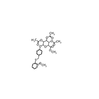 COC(=O)C1OC(Oc2ccc(CSc3cccc[n+]3OC)cc2)C(OC(C)=O)C(OC(C)=O)C1OC(C)=O